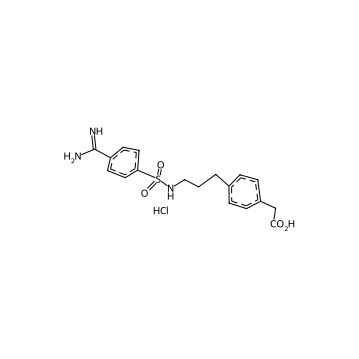 Cl.N=C(N)c1ccc(S(=O)(=O)NCCCc2ccc(CC(=O)O)cc2)cc1